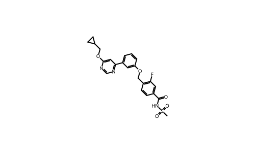 CS(=O)(=O)NC(=O)c1ccc(COc2cccc(-c3cc(OCC4CC4)ncn3)c2)c(F)c1